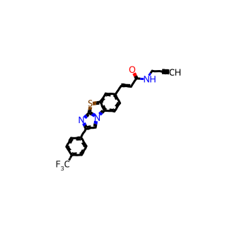 C#CCNC(=O)C=Cc1ccc2c(c1)sc1nc(-c3ccc(C(F)(F)F)cc3)cn12